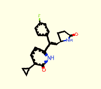 O=C1CC[C@H](/C=C(\c2ccc(F)cc2)c2ccc(C3CC3)c(=O)[nH]2)N1